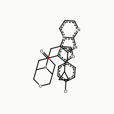 O=C(c1ncoc1C1CC1)N1C2COCC1CN(Cc1c(-c3ccc(Cl)cc3)nc3ncccn13)C2